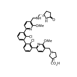 COc1nc(-c2cccc(-c3cccc(-c4ccc(CN5CC[C@@H](C(=O)O)C5)c(OC)n4)c3Cl)c2Cl)ccc1CNC[C@@H]1CCC(=O)N1